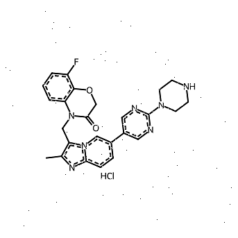 Cc1nc2ccc(-c3cnc(N4CCNCC4)nc3)cn2c1CN1C(=O)COc2c(F)cccc21.Cl